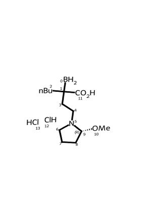 BC(CCCC)(CCN1CCC[C@H]1OC)C(=O)O.Cl.Cl